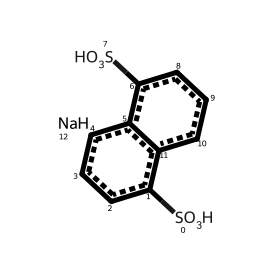 O=S(=O)(O)c1cccc2c(S(=O)(=O)O)cccc12.[NaH]